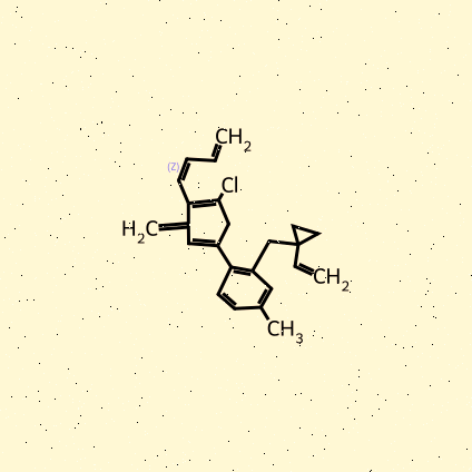 C=C/C=C\C1=C(Cl)CC(c2ccc(C)cc2CC2(C=C)CC2)=CC1=C